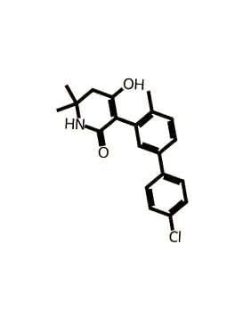 Cc1ccc(-c2ccc(Cl)cc2)cc1C1=C(O)CC(C)(C)NC1=O